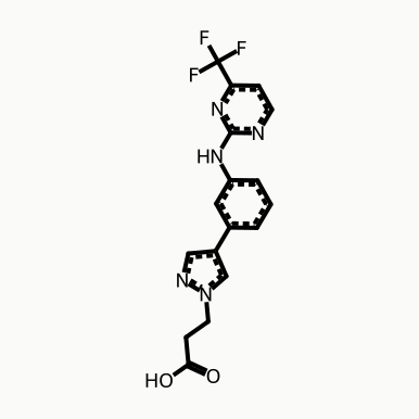 O=C(O)CCn1cc(-c2cccc(Nc3nccc(C(F)(F)F)n3)c2)cn1